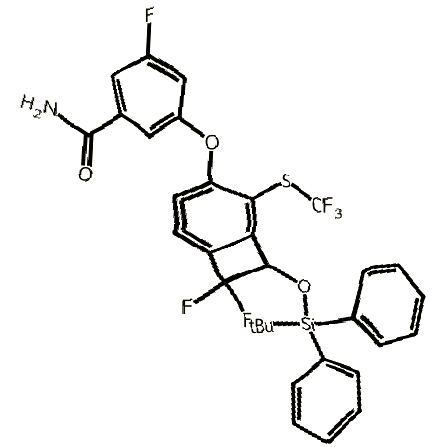 CC(C)(C)[Si](OC1C2=C(SC(F)(F)F)C(Oc3cc(F)cc(C(N)=O)c3)=C=C=C2C1(F)F)(c1ccccc1)c1ccccc1